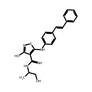 CC(CO)NC(=N)c1c(O)nsc1Nc1ccc(/C=C/c2ccccc2)cc1